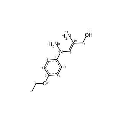 CCOc1ccc(N(N)/C=C(\N)CO)cc1